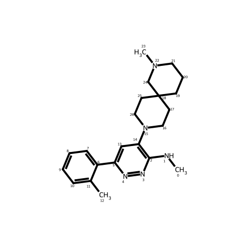 CNc1nnc(-c2ccccc2C)cc1N1CCC2(CCCN(C)C2)CC1